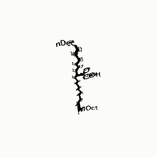 CCCCCCCC/C=C\CCCCCCCCC(CCCCCCCCCCCCCCCC)C(=O)OO